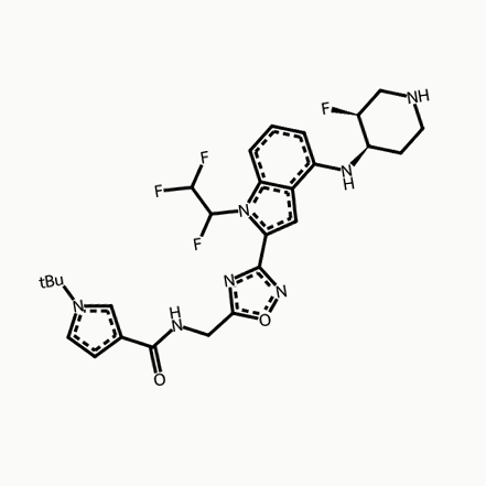 CC(C)(C)n1ccc(C(=O)NCc2nc(-c3cc4c(N[C@@H]5CCNC[C@@H]5F)cccc4n3C(F)C(F)F)no2)c1